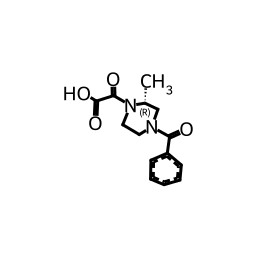 C[C@@H]1CN(C(=O)c2ccccc2)CCN1C(=O)C(=O)O